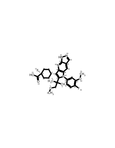 COCC(C)(C)c1c([C@H]2CC[C@](F)(C(=O)O)CC2)c2nc3[nH]ncc3cc2n1-c1ccc(F)c(OC)c1